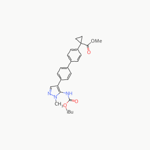 CCC(C)OC(=O)Nc1c(-c2ccc(-c3ccc(C4(C(=O)OC)CC4)cc3)cc2)cnn1C